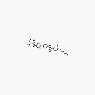 CCCCCCc1ccc(C(=O)Oc2ccc(-c3ccc(OC(=O)C(Cl)C(C)C)cc3)cc2)cc1F